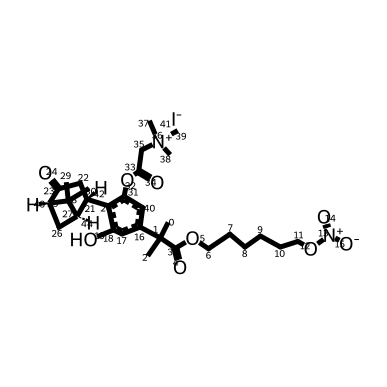 CC(C)(C(=O)OCCCCCCO[N+](=O)[O-])c1cc(O)c([C@H]2CC(=O)[C@H]3C[C@H]2C3(C)C)c(OC(=O)C[N+](C)(C)C)c1.[I-]